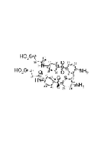 Nc1ccc(S(=O)(=O)c2ccc(NC(=O)CCC(=O)O)cc2)cc1.Nc1ccc(S(=O)(=O)c2ccc(NC(=O)CCC(=O)O)cc2)cc1